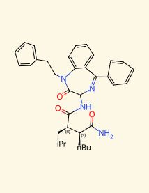 CCCC[C@H](C(N)=O)[C@@H](CC(C)C)C(=O)NC1N=C(c2ccccc2)c2ccccc2N(CCc2ccccc2)C1=O